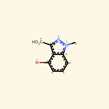 Cn1nc(C(=O)O)c2c(Br)cccc21